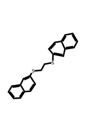 c1ccc2cc(SCCSc3ccc4ccccc4c3)ccc2c1